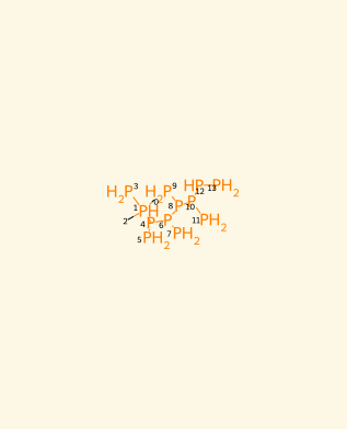 C[PH](C)(P)P(P)P(P)P(P)P(P)PP